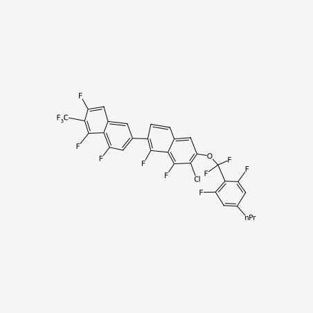 CCCc1cc(F)c(C(F)(F)Oc2cc3ccc(-c4cc(F)c5c(F)c(C(F)(F)F)c(F)cc5c4)c(F)c3c(F)c2Cl)c(F)c1